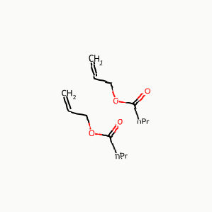 C=CCOC(=O)CCC.C=CCOC(=O)CCC